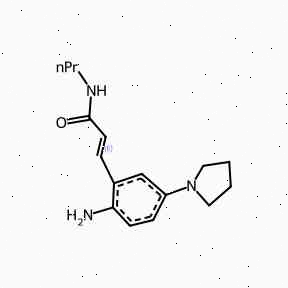 CCCNC(=O)/C=C/c1cc(N2CCCC2)ccc1N